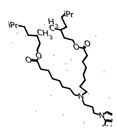 Cc1nccn1CCCN(CCCCCCCC(=O)OCCC(C)CCC(C)C)CCCCCCCC(=O)OCCC(C)CCC(C)C